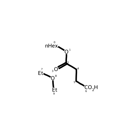 CCCCCCOC(=O)CCC(=O)O.CCOCC